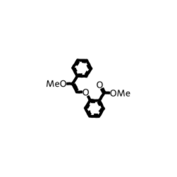 COC(=O)c1ccccc1OC=C(OC)c1ccccc1